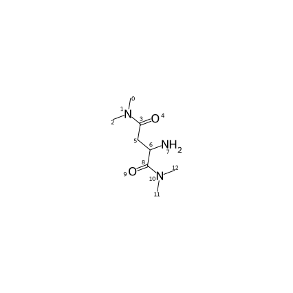 CN(C)C(=O)CC(N)C(=O)N(C)C